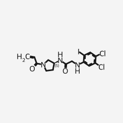 C=CC(=O)N1CC[C@H](NC(=O)CNc2cc(Cl)c(Cl)cc2I)C1